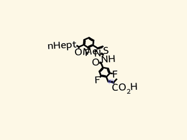 CCCCCCCC(OC)c1cccc(-c2csc(NC(=O)c3cc(F)c(/C=C(\C)C(=O)O)c(F)c3)n2)c1F